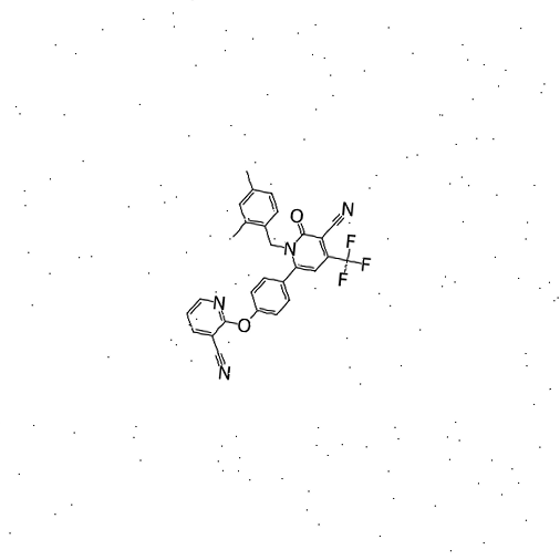 Cc1ccc(Cn2c(-c3ccc(Oc4ncccc4C#N)cc3)cc(C(F)(F)F)c(C#N)c2=O)c(C)c1